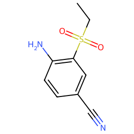 CCS(=O)(=O)c1cc(C#N)ccc1N